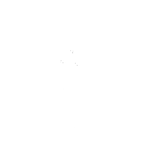 c1ccc2c(c1)Sc1ccccc1C21c2ccccc2-c2c(-c3ccc(-c4nc(-c5ccc6ccccc6c5)nc(-c5cccc6ccccc56)n4)cc3)cccc21